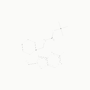 CC(C)(C)OC(=O)NCC1(n2c(C=O)cc3cnc(Cl)nc32)CCCCC1